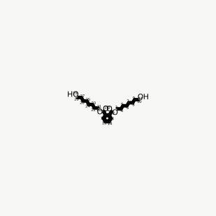 O=C(OCCCCCCCCO)c1ccccc1C(=O)OCCCCCCCCO